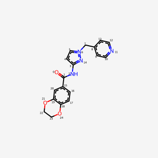 O=C(Nc1ccn(Cc2ccncc2)n1)c1ccc2c(c1)OCCO2